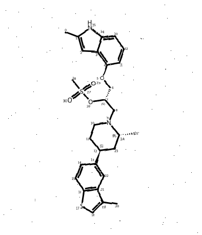 Cc1cc2c(OC[C@H](CN3CC[C@H](c4ccc5scc(C)c5c4)C[C@H]3C)OS(C)(=O)=O)cccc2[nH]1